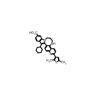 Cc1cc(-c2ccc3c4c(ccc3n2)-c2c(C3CCCCC3)c3ccc(C(=O)O)cc3n2CCCN4)c(C)s1